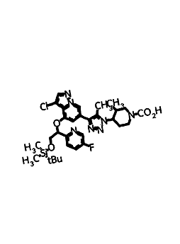 Cc1c(-c2cc(OC(CO[Si](C)(C)C(C)(C)C)c3ccc(F)cn3)c3c(Cl)cnn3c2)nnn1C1CCN(C(=O)O)CC1C